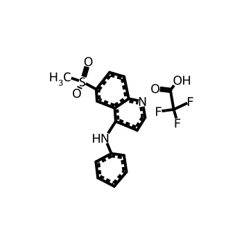 CS(=O)(=O)c1ccc2nccc(Nc3ccccc3)c2c1.O=C(O)C(F)(F)F